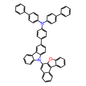 c1ccc(-c2ccc(N(c3ccc(-c4ccccc4)cc3)c3ccc(-c4ccc5c(c4)c4ccccc4n5-c4cc5ccccc5c5c4oc4ccccc45)cc3)cc2)cc1